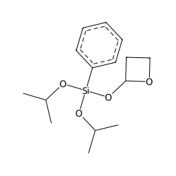 CC(C)O[Si](OC(C)C)(OC1CCO1)c1ccccc1